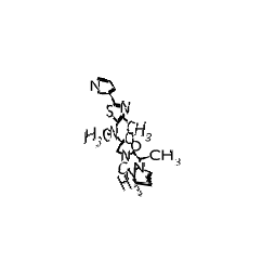 Cc1nc(-c2cccnc2)sc1N(C)C(=O)CN(C)C(=O)C(C)n1cccn1